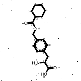 N[C@@H](Cc1ccc(CNC(=O)C2CCCCC2)cc1)C(=O)O